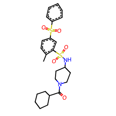 Cc1ccc(S(=O)(=O)c2ccccc2)cc1S(=O)(=O)NC1CCN(C(=O)C2CCCCC2)CC1